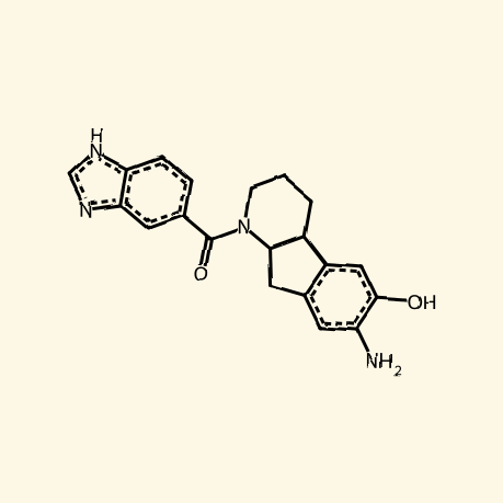 Nc1cc2c(cc1O)C1CCCN(C(=O)c3ccc4[nH]cnc4c3)C1C2